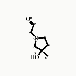 C[C@]1(O)CCN(C[C]=O)C1